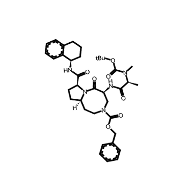 C[C@@H](C(=O)N[C@H]1CN(C(=O)OCc2ccccc2)CC[C@H]2CC[C@@H](C(=O)N[C@@H]3CCCc4ccccc43)N2C1=O)N(C)C(=O)OC(C)(C)C